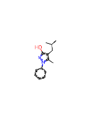 Cc1c(CC(C)C)c(O)nn1-c1ccccc1